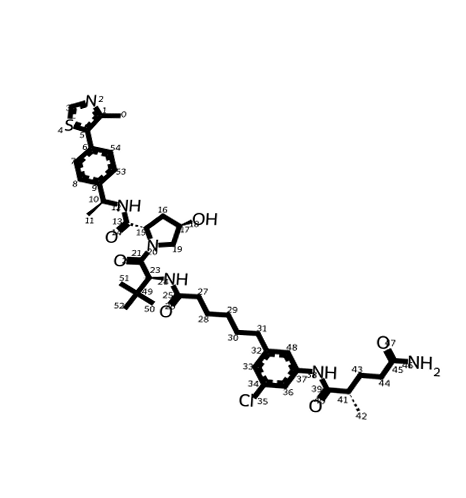 Cc1ncsc1-c1ccc([C@H](C)NC(=O)[C@@H]2C[C@@H](O)CN2C(=O)[C@@H](NC(=O)CCCCCc2cc(Cl)cc(NC(=O)[C@@H](C)CCC(N)=O)c2)C(C)(C)C)cc1